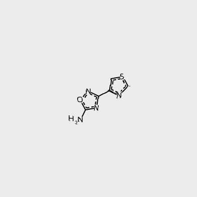 Nc1nc(-c2cs[c]n2)no1